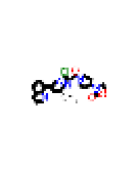 O=C(c1nc2c(C(F)(F)F)cc(-c3cccc4cccnc34)cn2c1Cl)N1CCC(N2CCOC2=O)CC1